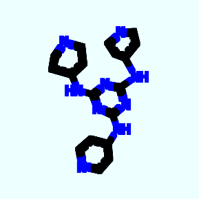 c1cc(Nc2nc(Nc3ccncc3)nc(Nc3ccncc3)n2)ccn1